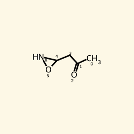 CC(=O)CC1NO1